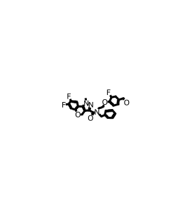 Cn1nc(C(=O)N(CCOC2=CC=C(C=O)CC2F)Cc2ccccc2)c2c1-c1cc(F)c(F)cc1OC2